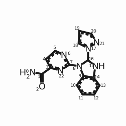 NC(=O)c1ccnc(N2c3ccccc3NC2n2cccn2)n1